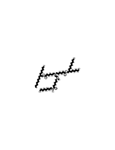 CCCCCCCCC(CCCCCC)COC(=O)CCCCCN(CCCCCC(=O)OCC(CCCCCC)CCCCCCCC)CCN(C)CCCCCC(=O)N(C)CCCCCCCC